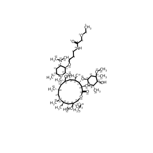 CCOCC(=O)NCCCO[C@H]1[C@H](O[C@@H]2[C@@H](C)[C@H](O[C@H]3C[C@@](C)(OC)[C@@H](O)[C@H](C)O3)[C@@H](C)C(=O)O[C@H](CC)[C@@](C)(O)[C@H](O)[C@@H](C)N(C)C[C@H](C)C[C@@]2(C)O)O[C@H](C)C[C@@H]1N(C)C